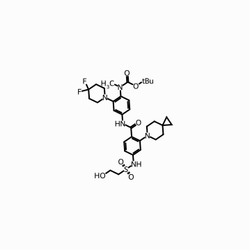 CN(C(=O)OC(C)(C)C)c1ccc(NC(=O)c2ccc(NS(=O)(=O)CCO)cc2N2CCC3(CC2)CC3)cc1N1CCC(F)(F)CC1